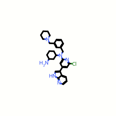 NC1CCCC(N(Cc2cccc(CN3CCCCC3)c2)c2cc(-c3c[nH]c4ncccc34)cc(Cl)n2)C1